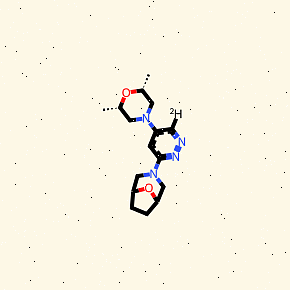 [2H]c1nnc(N2CC3CCC(C2)O3)cc1N1C[C@@H](C)O[C@@H](C)C1